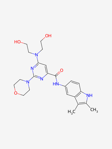 Cc1[nH]c2ccc(NC(=O)c3cc(N(CCO)CCO)nc(N4CCOCC4)n3)cc2c1C